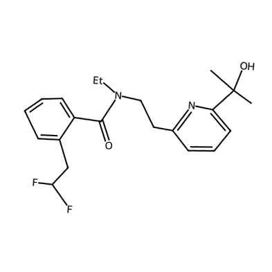 CCN(CCc1cccc(C(C)(C)O)n1)C(=O)c1ccccc1CC(F)F